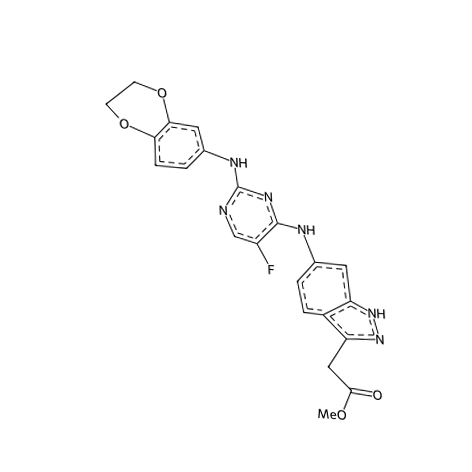 COC(=O)Cc1n[nH]c2cc(Nc3nc(Nc4ccc5c(c4)OCCO5)ncc3F)ccc12